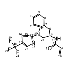 C=CC(=O)NC1Cc2ccccc2N(c2ccc(C(F)(F)F)cn2)C1